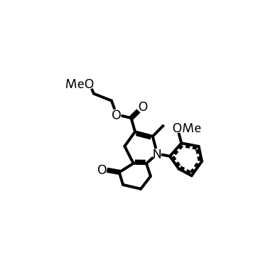 COCCOC(=O)C1=C(C)N(c2ccccc2OC)C2=C(C1)C(=O)CCC2